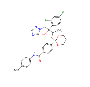 CC(=O)Oc1ccc(NC(=O)c2ccc(C3(SC(C)C(O)(Cn4cncn4)c4ccc(F)cc4F)OCCCO3)cc2)cc1